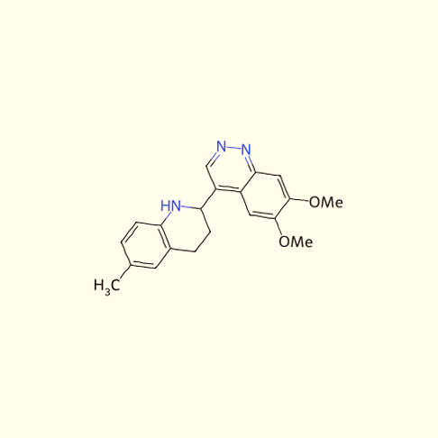 COc1cc2nncc(C3CCc4cc(C)ccc4N3)c2cc1OC